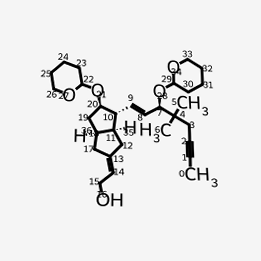 CC#CCC(C)(C)[C@@H](C=C[C@@H]1[C@H]2CC(=CCO)C[C@H]2C[C@H]1OC1CCCCO1)OC1CCCCO1